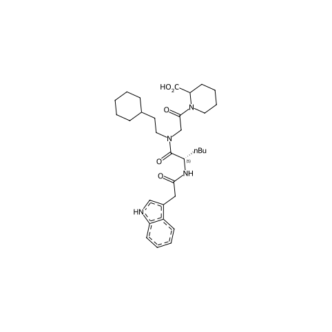 CCCC[C@H](NC(=O)Cc1c[nH]c2ccccc12)C(=O)N(CCC1CCCCC1)CC(=O)N1CCCCC1C(=O)O